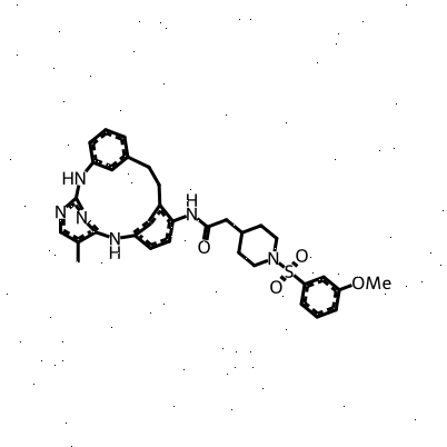 COc1cccc(S(=O)(=O)N2CCC(CC(=O)Nc3ccc4cc3CCc3cccc(c3)Nc3ncc(C)c(n3)N4)CC2)c1